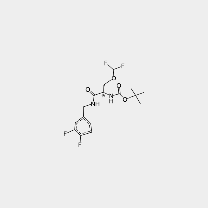 CC(C)(C)OC(=O)N[C@H](COC(F)F)C(=O)NCc1ccc(F)c(F)c1